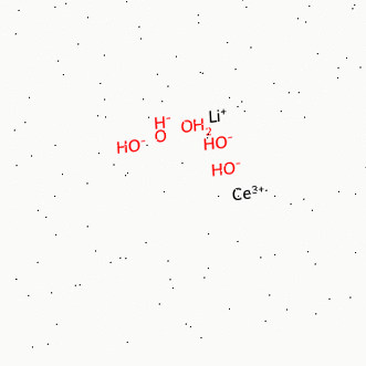 O.[Ce+3].[Li+].[OH-].[OH-].[OH-].[OH-]